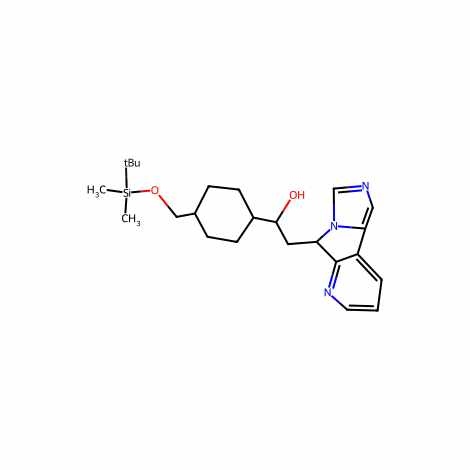 CC(C)(C)[Si](C)(C)OCC1CCC(C(O)CC2c3ncccc3-c3cncn32)CC1